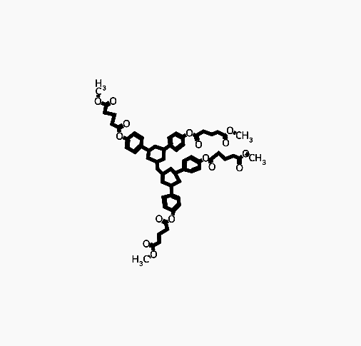 COC(=O)CCCC(=O)Oc1ccc(C2CC(CC3CC(c4ccc(OC(=O)CCCC(=O)OC)cc4)CC(c4ccc(OC(=O)CCCC(=O)OC)cc4)C3)CC(c3ccc(OC(=O)CCCC(=O)OC)cc3)C2)cc1